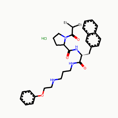 CCC(CC)C(=O)N1CCCC1C(=O)N[C@H](Cc1ccc2ccccc2c1)C(=O)NCCCNCCOc1ccccc1.Cl